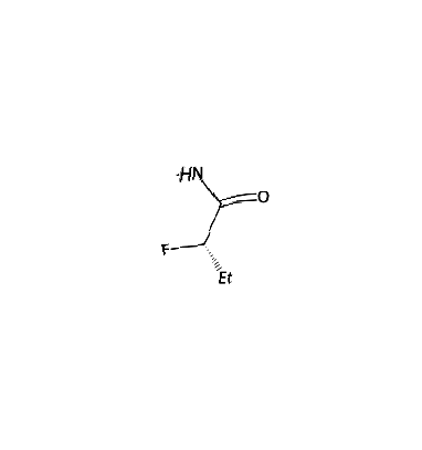 CC[C@H](F)C([NH])=O